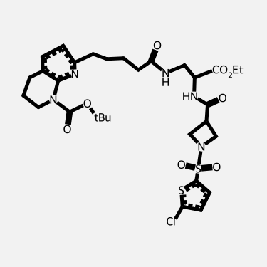 CCOC(=O)C(CNC(=O)CCCCc1ccc2c(n1)N(C(=O)OC(C)(C)C)CCC2)NC(=O)C1CN(S(=O)(=O)c2ccc(Cl)s2)C1